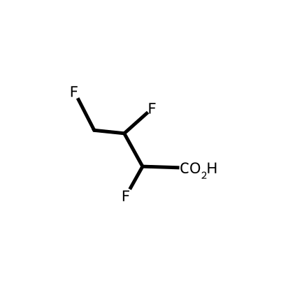 O=C(O)C(F)C(F)CF